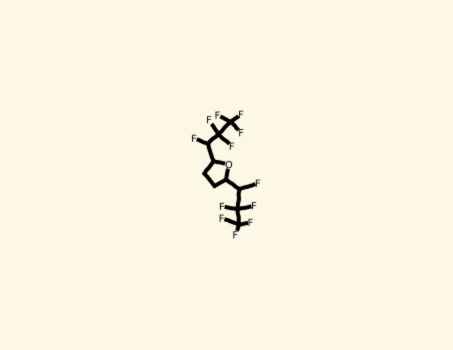 FC(C1CCC(C(F)C(F)(F)C(F)(F)F)O1)C(F)(F)C(F)(F)F